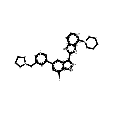 Fc1cc(-c2cncc(CN3CCCC3)c2)cc2c(-c3nc4c(N5CCCCC5)nccc4[nH]3)n[nH]c12